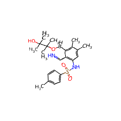 Cc1ccc(S(=O)(=O)Nc2cc(C)c(C)c(BOC(C)(C)C(C)(C)O)c2C=N)cc1